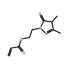 C=CC(=O)OCCN1N=C(C)C(C)C1=O